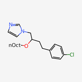 CCCCCCCCOC(CCc1ccc(Cl)cc1)Cn1ccnc1